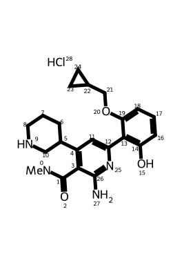 CNC(=O)c1c(C2CCCNC2)cc(-c2c(O)cccc2OCC2CC2)nc1N.Cl